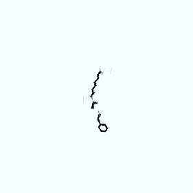 NCCCCCC(=O)NC1CN(C(=O)CC2CCCCC2)C1